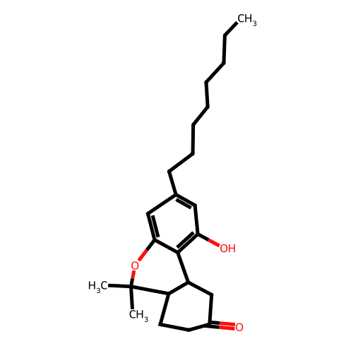 CCCCCCCCc1cc(O)c2c(c1)OC(C)(C)C1CCC(=O)CC21